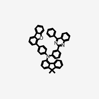 CC1(C)c2ccccc2-c2c(N(c3ccc(-c4cccc5c4oc4ccccc45)cc3)c3cccc(-c4nc(-c5ccccc5)c5ccccc5n4)c3)cccc21